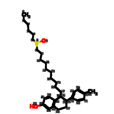 CCCCCC[S+]([O-])CCCCCCCCCC[C@@H]1c2ccc(O)cc2CC[C@@H]1c1ccc(C)cc1